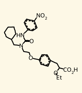 CCOC(Cc1ccc(OCCN(CC2CCCCC2)C(=O)Nc2ccc([N+](=O)[O-])cc2)cc1)C(=O)O